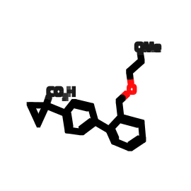 COCCOCc1ccccc1-c1ccc(C2(C(=O)O)CC2)cc1